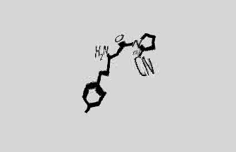 Cc1ccc(CCC(N)CC(=O)N2CCC[C@H]2C#N)cc1